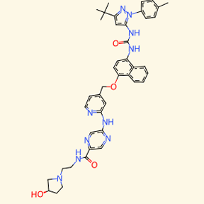 Cc1ccc(-n2nc(C(C)(C)C)cc2NC(=O)Nc2ccc(OCc3ccnc(Nc4cnc(C(=O)NCCN5CC[C@@H](O)C5)cn4)c3)c3ccccc23)cc1